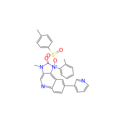 Cc1ccc(S(=O)(=O)O[N+]2(c3ccccc3C)C(=O)N(C)c3cnc4ccc(-c5cccnc5)cc4c32)cc1